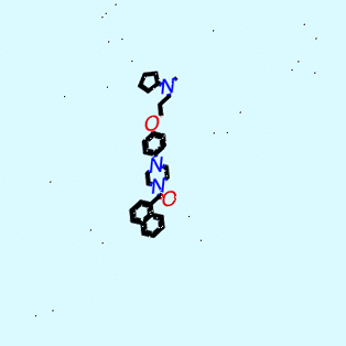 CN(CCCOc1ccc(N2CCN(C(=O)c3cccc4ccccc34)CC2)cc1)C1CCCC1